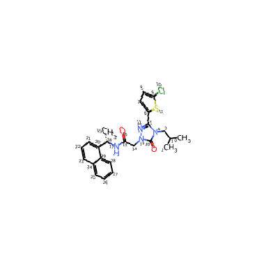 CC(C)Cn1c(-c2ccc(Cl)s2)nn(CC(=O)N[C@@H](C)c2cccc3ccccc23)c1=O